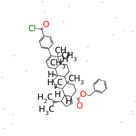 C=C(C)[C@@H]1CC[C@]2(C(=O)OCc3ccccc3)CC[C@]3(C)[C@H](CC[C@@H]4[C@@]5(C)CC=C(c6ccc(C(=O)Cl)cc6)C(C)(C)[C@@H]5CC[C@]43C)[C@@H]12